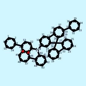 c1ccc(-c2ccc(N(c3ccc4c(c3)C3(c5ccccc5-c5ccccc53)c3cc(-c5ccccc5)ccc3-4)c3ccccc3-c3ccccc3)cc2)cc1